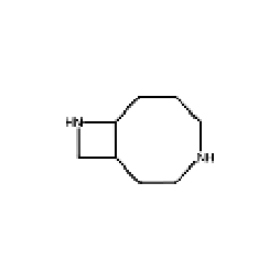 C1CNCCC2CNC2C1